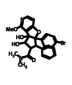 COc1nccc2c1C1(O)C(O)C(C(=O)N(C)C)C(c3ccccc3)C1(c1ccc(Br)cc1)O2